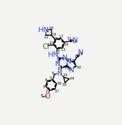 COc1ccc(CN(c2nc(Nc3cc(C#N)cc(C4CNC4)c3Cl)nn3c(C#N)cnc23)C2CC2)cc1